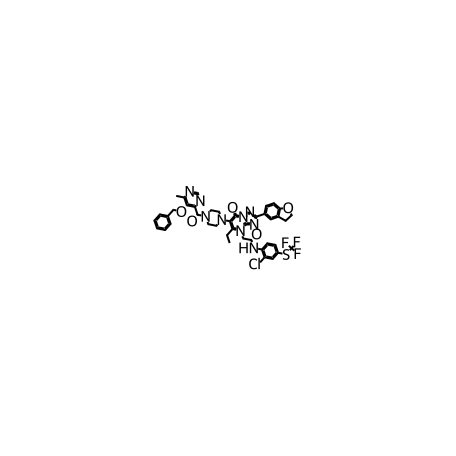 CCc1c(N2CCN(C(=O)c3ncnc(C)c3OCc3ccccc3)CC2)c(=O)n2nc(-c3ccc4c(c3)CCO4)nc2n1CC(=O)Nc1ccc(SC(F)(F)F)cc1Cl